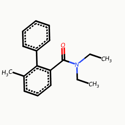 CCN(CC)C(=O)c1cccc(C)c1-c1ccccc1